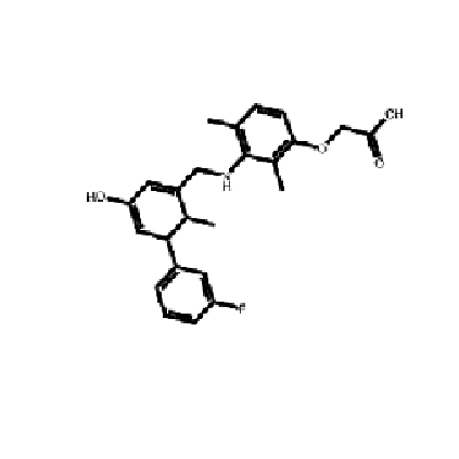 Cc1ccc(OCC(=O)O)c(C)c1NCC1=CC(O)=CC(c2cccc(F)c2)C1C